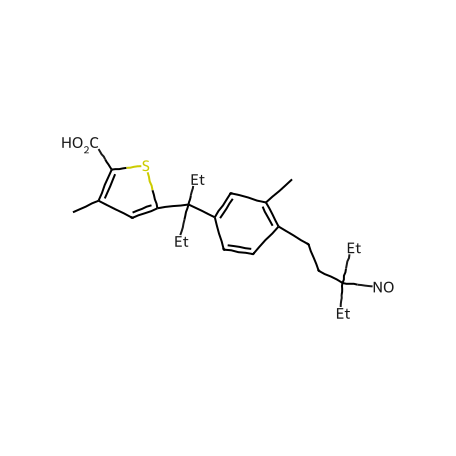 CCC(CC)(CCc1ccc(C(CC)(CC)c2cc(C)c(C(=O)O)s2)cc1C)N=O